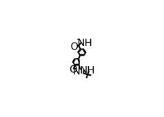 CNC(=O)c1cccc(-c2ccc3onc(NCC(C)(C)C)c3c2)c1